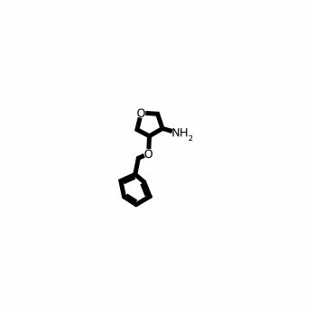 NC1COCC1OCc1ccccc1